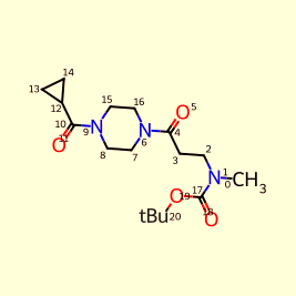 CN(CCC(=O)N1CCN(C(=O)C2CC2)CC1)C(=O)OC(C)(C)C